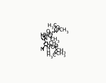 Cc1cc(Nc2nccc(-c3cc(C#N)c4c(c3)[C@@](C)(COC(=O)C(C)CC(C)C)CN4)n2)c(=O)n(CCN2CC(C)OC(C)C2)c1